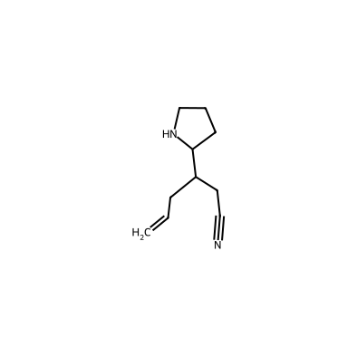 C=CCC(CC#N)C1CCCN1